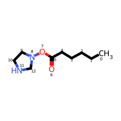 CCCCCC(=O)ON1CCNC1